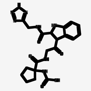 O=C(O)NC1(C(=O)NCC(=O)C2c3ccccc3NC2C(=O)NCc2nn[nH]n2)CCCC1